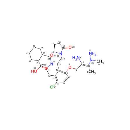 C/C(=C(/N)COc1ccc(Cl)c2c1C(CN1CCCC1=O)N(C(=O)C1CCCCC1C(=O)O)CC2)N(C)N